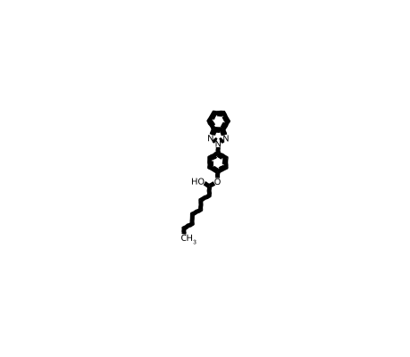 CCCCCCCC(O)Oc1ccc(-n2nc3ccccc3n2)cc1